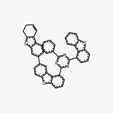 C1=Cc2c(sc3cc(-c4ccc5oc6cccc(-c7nc(-c8ccccc8)nc(-c8cccc9sc%10ccccc%10c89)n7)c6c5c4)ccc23)CC1